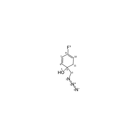 [N-]=[N+]=NCC1(O)C=CC(F)=CC1